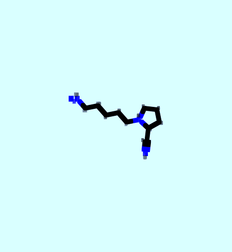 N#CC1CCCN1CCCCCN